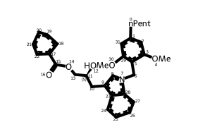 CCCCCc1cc(OC)c(Cn2cc(C[C@H](O)COC(=O)c3ccccc3)c3ccccc32)c(OC)c1